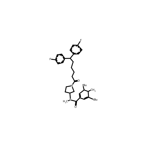 CC1C(C(C)(C)C)=CC(C(=O)N(C)C2CCN(C(=O)CCCCC(c3ccc(F)cc3)c3ccc(F)cc3)C2)=CC1C(C)(C)C